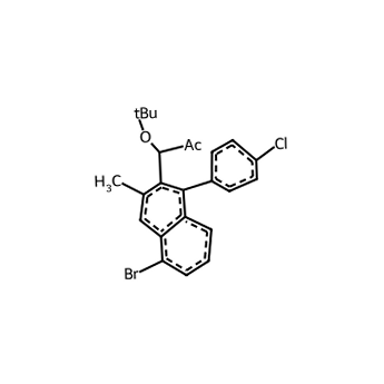 CC(=O)C(OC(C)(C)C)c1c(C)cc2c(Br)cccc2c1-c1ccc(Cl)cc1